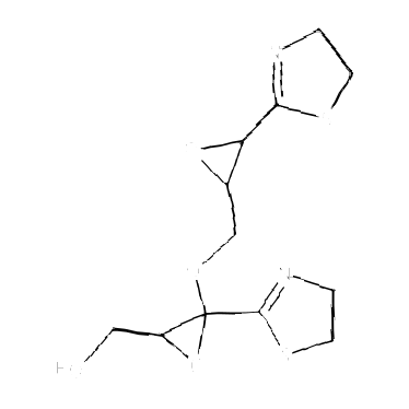 OCC1OC1(OCC1OC1C1=NCCS1)C1=NCCS1